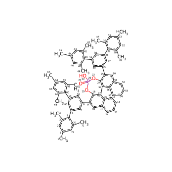 Cc1cc(C)c(-c2cc(-c3cc4ccccc4c4c3OP(=O)(O)Oc3c(-c5cc(-c6c(C)cc(C)cc6C)cc(-c6c(C)cc(C)cc6C)c5)cc5ccccc5c3-4)cc(-c3c(C)cc(C)cc3C)c2)c(C)c1